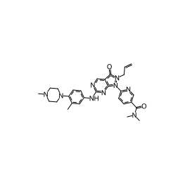 C=CCn1c(=O)c2cnc(Nc3ccc(N4CCN(C)CC4)c(C)c3)nc2n1-c1ccc(C(=O)N(C)C)cn1